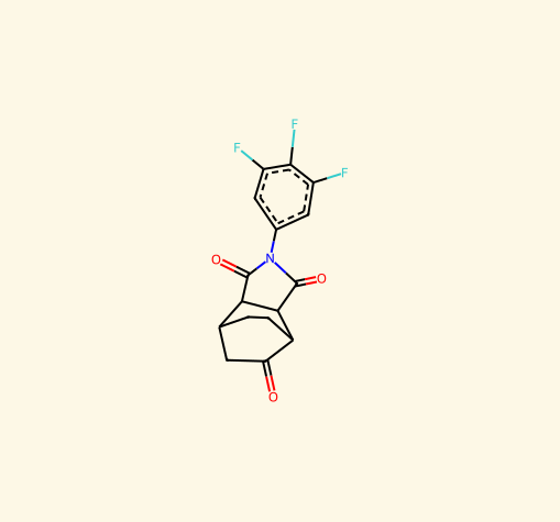 O=C1CC2CCC1C1C(=O)N(c3cc(F)c(F)c(F)c3)C(=O)C21